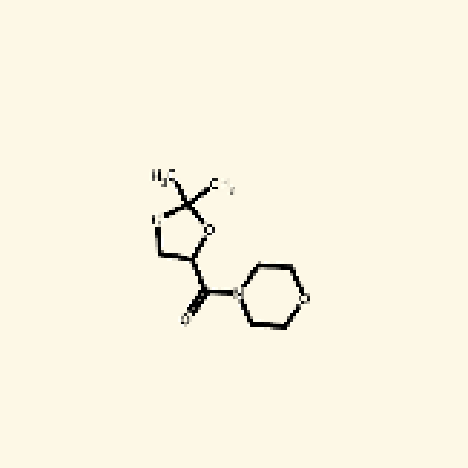 CC1(C)OCC(C(=O)N2CCOCC2)O1